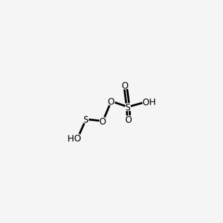 O=S(=O)(O)OOSO